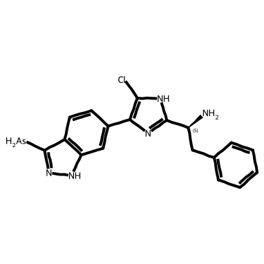 N[C@@H](Cc1ccccc1)c1nc(-c2ccc3c([AsH2])n[nH]c3c2)c(Cl)[nH]1